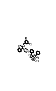 Fc1cc(Cl)cc(CO[C@@H]2COc3ccccc3[C@H]2N2CCNCC2)c1.O=C(OC(C(=O)O)(C(=O)c1ccccc1)C(O)C(=O)O)c1ccccc1